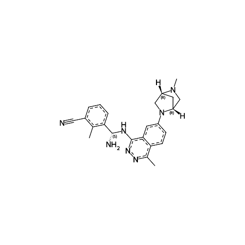 Cc1c(C#N)cccc1[C@@H](N)Nc1nnc(C)c2ccc(N3C[C@H]4C[C@@H]3CN4C)cc12